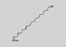 CCCCCCOCOCCC=CCCCCCCCCCCBr